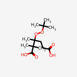 CC(C)(C)OOC(C)(CCC(=O)O)C(C)(C)C(=O)O